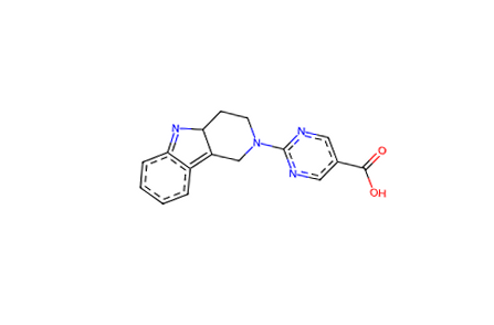 O=C(O)c1cnc(N2CCC3N=c4ccccc4=C3C2)nc1